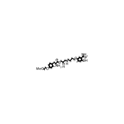 COCCOc1ccc(C[C@H](N)C(=O)OCC(O)CNCCCCOc2ccc(O)c(C(N)=O)c2)cc1